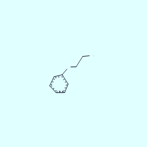 [PbH][CH2]COc1ccccc1